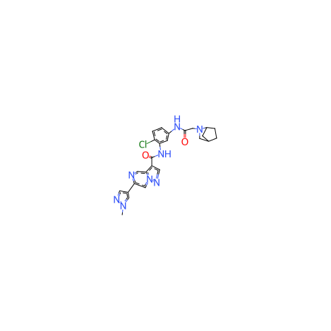 Cn1cc(-c2cn3ncc(C(=O)Nc4cc(NC(=O)CN5CC6CCC5C6)ccc4Cl)c3cn2)cn1